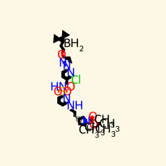 BC1(CCOc2ccn(-c3ccc(C(=O)NS(=O)(=O)c4cccc(NCCC[C@@H]5CN(C(=O)OC(C)(C)C)C(C)(C)C5)n4)c(Cl)n3)n2)C2(CC2)C12CC2